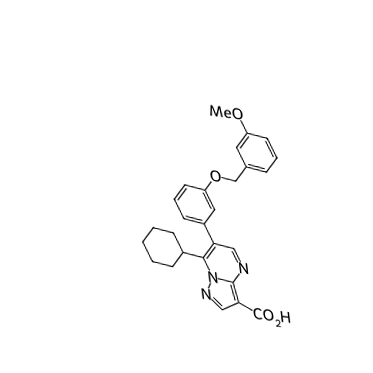 COc1cccc(COc2cccc(-c3cnc4c(C(=O)O)cnn4c3C3CCCCC3)c2)c1